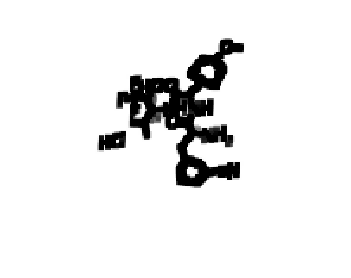 COc1ccc([C@H](NC(=O)[C@@H](N)Cc2cccc(C#N)c2)C(=O)N[C@@H](C(C)C)[C@H](O)C(F)(F)F)cc1.Cl